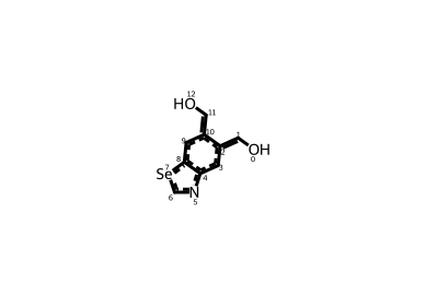 OC=c1cc2nc[se]c2cc1=CO